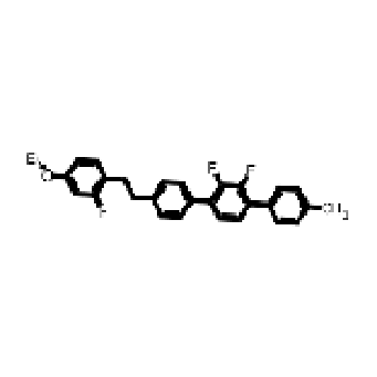 CCOc1ccc(CCc2ccc(-c3ccc(-c4ccc(C)cc4)c(F)c3F)cc2)c(F)c1